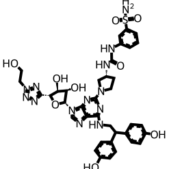 NS(=O)(=O)c1cccc(NC(=O)N[C@@H]2CCN(c3nc(NCC(c4ccc(O)cc4)c4ccc(O)cc4)c4ncn([C@@H]5O[C@H](c6nnn(CCO)n6)[C@@H](O)[C@H]5O)c4n3)C2)c1